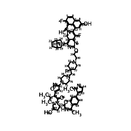 C#Cc1c(F)ccc2cc(O)cc(-c3ncc4c(N5CC6CCC(C5)N6)nc(OCCN5CCC(F)(CN6CCN(c7cc([C@@H](C(=O)N8C[C@H](O)C[C@H]8C(=O)N[C@@H](C)c8ccc(-c9ccnn9C)cc8)C(C)C)on7)CC6)CC5)nc4c3F)c12